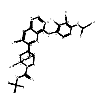 CC(C)(C)OC(=O)N1CC2CC[C@@H]1CN2c1nc2c(Nc3ccc(OC(F)F)c(Cl)c3F)ncnc2cc1F